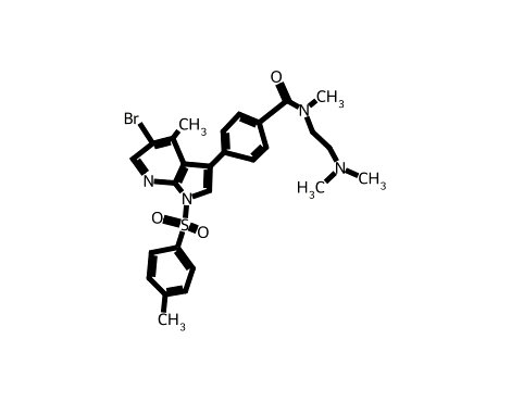 Cc1ccc(S(=O)(=O)n2cc(-c3ccc(C(=O)N(C)CCN(C)C)cc3)c3c(C)c(Br)cnc32)cc1